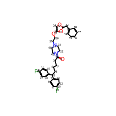 O=C(CCCCC(c1ccc(F)cc1)c1ccc(F)cc1)N1CCN(CCOC2=COC(Cc3ccccc3)O2)CC1